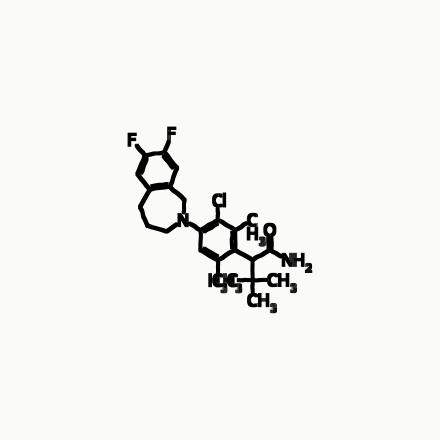 Cc1cc(N2CCCc3cc(F)c(F)cc3C2)c(Cl)c(C)c1C(C(N)=O)C(C)(C)C